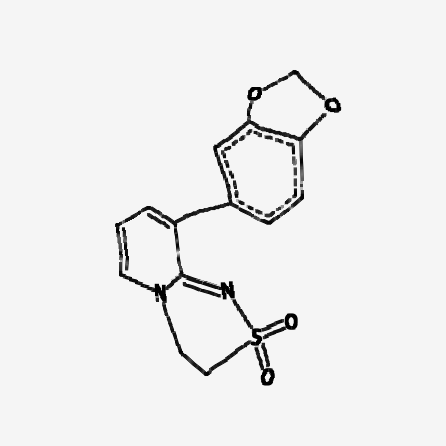 O=S1(=O)CCN2C=CC=C(c3ccc4c(c3)OCO4)C2=N1